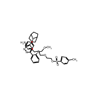 COCOc1ccccc1-c1cc(N2CC3CCC(C2)N3c2ccnc(CCCOCCOS(=O)(=O)c3ccc(C)cc3)c2)c(N)nn1